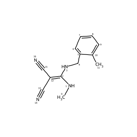 CNC(NCc1ccccc1C)=C(C#N)C#N